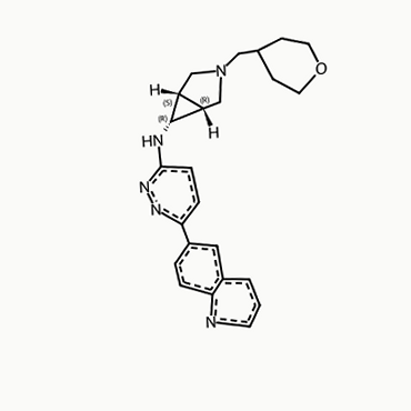 c1cnc2ccc(-c3ccc(N[C@@H]4[C@@H]5CN(CC6CCOCC6)C[C@@H]54)nn3)cc2c1